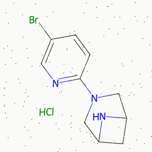 Brc1ccc(N2CC3CC(C2)N3)nc1.Cl